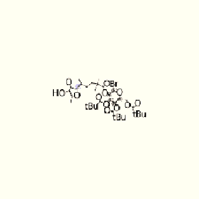 CC1=C(O)C(=O)/C(=C(\C)CCC(C)(C)C(=O)O[C@@H]2[C@@H](OC(=O)C(C)(C)C)[C@H](OC(=O)C(C)(C)C)[C@@H](COC(=O)C(C)(C)C)O[C@@H]2Br)O1